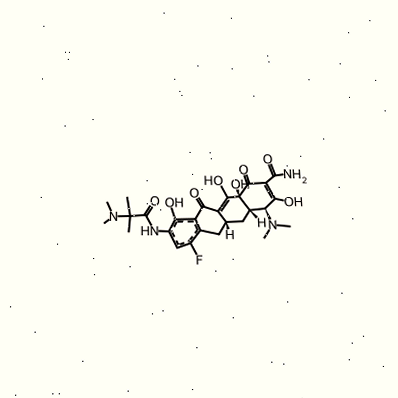 CN(C)[C@@H]1C(O)=C(C(N)=O)C(=O)[C@@]2(O)C(O)=C3C(=O)c4c(O)c(NC(=O)C(C)(C)N(C)C)cc(F)c4C[C@H]3C[C@@H]12